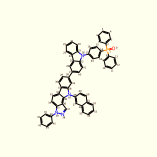 O=P(c1ccccc1)(c1ccccc1)c1ccc(-n2c3ccccc3c3cc(-c4ccc5c6ccc7c(cnn7-c7ccccc7)c6n(-c6ccc7ccccc7c6)c5c4)ccc32)cc1